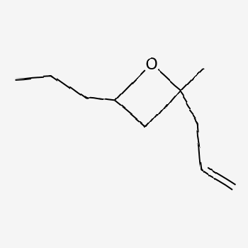 C=CCC1(C)CC(CCC)O1